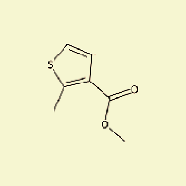 COC(=O)c1[c]csc1C